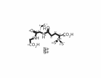 O=C(O)CNC(=O)[C@H](CS)NC(=O)CC[C@@H](C(=O)O)[N+](=S)[S-].[Na].[Na]